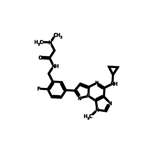 CN(C)CC(=O)NCc1cc(-c2cc3nc(NC4CC4)c4ncn(C)c4n3n2)ccc1F